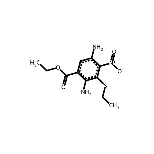 CCOC(=O)c1cc(N)c([N+](=O)[O-])c(SCC)c1N